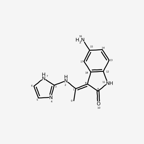 CC(Nc1ncc[nH]1)=C1C(=O)Nc2ccc(N)cc21